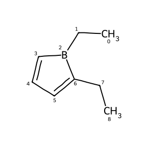 CCB1C=CC=C1CC